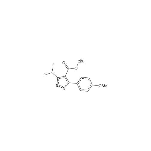 COc1ccc(-c2nsc(C(F)F)c2C(=O)OC(C)(C)C)cc1